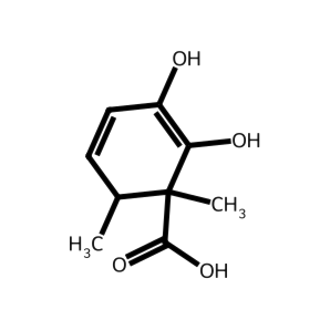 CC1C=CC(O)=C(O)C1(C)C(=O)O